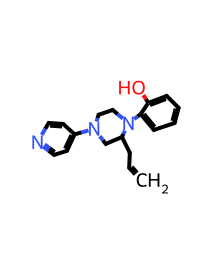 C=CCC1CN(c2ccncc2)CCN1c1ccccc1O